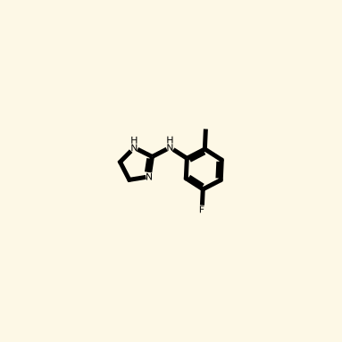 Cc1ccc(F)cc1NC1=NCCN1